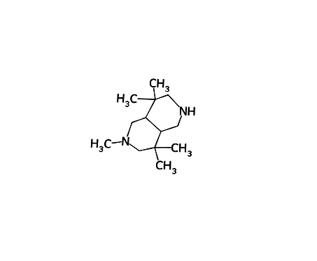 CN1CC2C(CNCC2(C)C)C(C)(C)C1